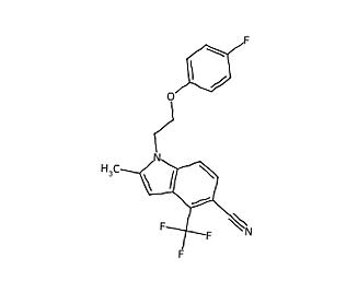 Cc1cc2c(C(F)(F)F)c(C#N)ccc2n1CCOc1ccc(F)cc1